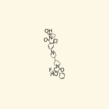 O=C(c1ccc(N2CCC(C3CCN(C(=O)C(O)(c4ccccc4)C(F)(F)F)CC3)CC2)cc1Cl)N1CCC[C@@H]1CO